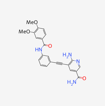 COc1ccc(C(=O)Nc2cccc(C#Cc3cc(C(N)=O)cnc3N)c2)cc1OC